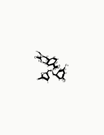 Cc1ccc(CN(Cc2cc(F)cc(F)c2)C(=O)c2ccc3c(c2)NC(=O)N(C)C3)o1